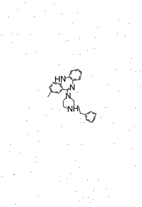 Cc1ccc2c(c1)C(N1CCN[C@@H](CCc3ccccc3)C1)=Nc1ccccc1N2